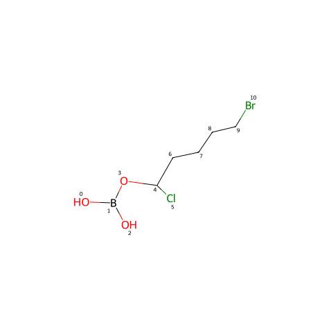 OB(O)OC(Cl)CCCCBr